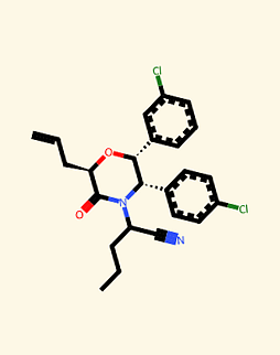 C=CC[C@H]1O[C@H](c2cccc(Cl)c2)[C@H](c2ccc(Cl)cc2)N(C(C#N)CCC)C1=O